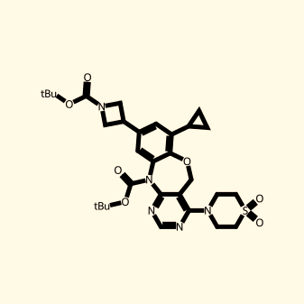 CC(C)(C)OC(=O)N1CC(c2cc(C3CC3)c3c(c2)N(C(=O)OC(C)(C)C)c2ncnc(N4CCS(=O)(=O)CC4)c2CO3)C1